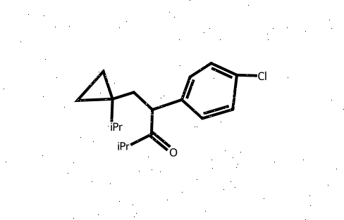 CC(C)C(=O)C(CC1(C(C)C)CC1)c1ccc(Cl)cc1